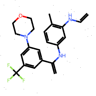 C=CNc1cc(NC(=C)c2cc(N3CCOCC3)cc(C(F)(F)F)c2)ccc1C